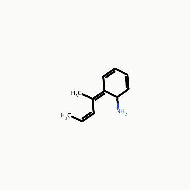 C/C=C\C(C)=C1\C=CC=CC1N